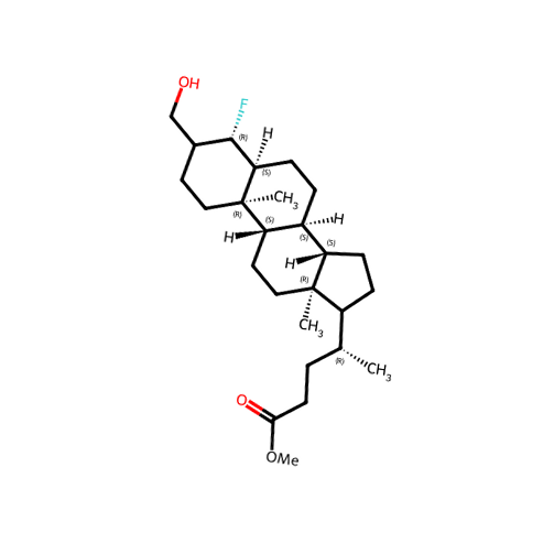 COC(=O)CC[C@@H](C)C1CC[C@H]2[C@@H]3CC[C@@H]4[C@@H](F)C(CO)CC[C@]4(C)[C@H]3CC[C@]12C